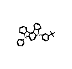 CC(C)(C)c1cccc(-n2c3ccccc3c3c4c5ccccc5n(-c5ccccc5)c4ccc32)c1